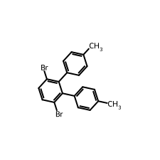 Cc1ccc(-c2c(Br)ccc(Br)c2-c2ccc(C)cc2)cc1